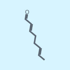 CC=CCCC=CC=O